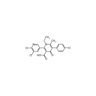 CCn1c(C)c(-c2ccc(Cl)cc2)c(=O)c(C(=O)O)c1-c1cnc(Cl)c(Cl)c1